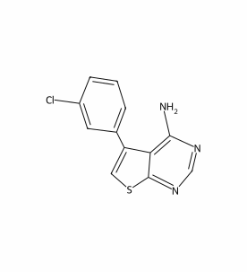 Nc1ncnc2scc(-c3cccc(Cl)c3)c12